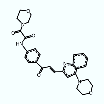 O=C(Nc1ccc(C(=O)/C=C/c2cc(N3CCOCC3)c3ccccc3n2)cc1)C(=O)N1CCOCC1